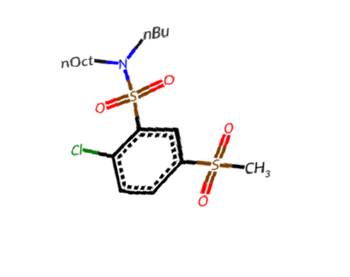 CCCCCCCCN(CCCC)S(=O)(=O)c1cc(S(C)(=O)=O)ccc1Cl